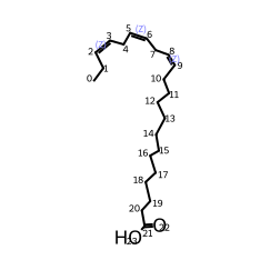 CC/C=C\C/C=C\C/C=C\CCCCCCCCCCCC(=O)O